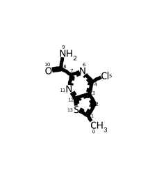 Cc1cc2c(Cl)nc(C(N)=O)nc2s1